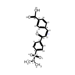 CN(C)S(=O)(=O)c1ccc(C(=O)/C=C\c2ccc(C(=O)O)cc2)cc1